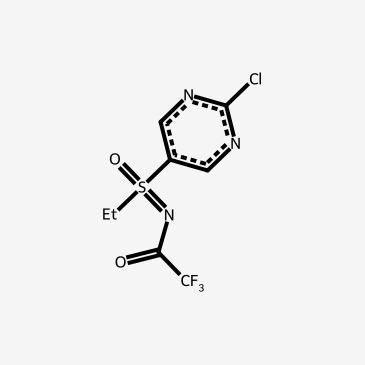 CCS(=O)(=NC(=O)C(F)(F)F)c1cnc(Cl)nc1